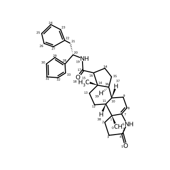 C[C@]12CCC(=O)NC1=CC[C@@H]1[C@H]2CC[C@]2(C)C(C(=O)N[C@@H](Cc3ccccc3)c3ccccc3)CC[C@@H]12